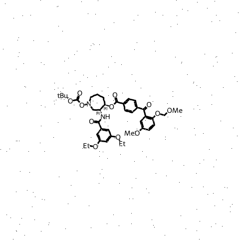 CCOc1cc(OCC)cc(C(=O)N[C@@H]2CN(OC(=O)OC(C)(C)C)CCC[C@H]2OC(=O)c2ccc(C(=O)c3cc(OC)ccc3OCOC)cc2)c1